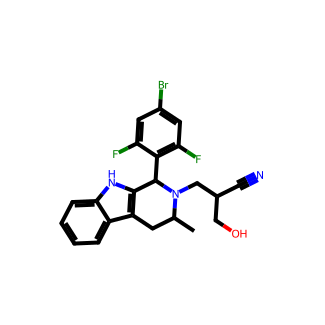 CC1Cc2c([nH]c3ccccc23)C(c2c(F)cc(Br)cc2F)N1CC(C#N)CO